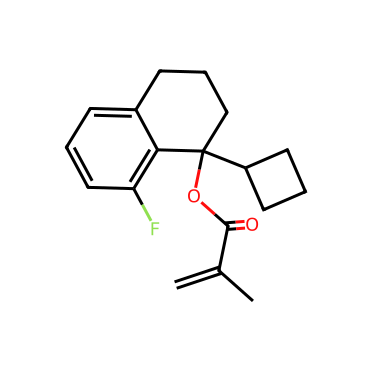 C=C(C)C(=O)OC1(C2CCC2)CCCc2cccc(F)c21